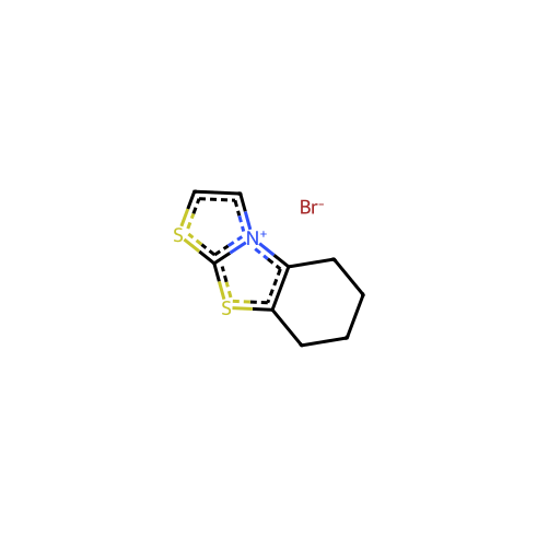 [Br-].c1c[n+]2c3c(sc2s1)CCCC3